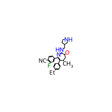 CCc1ccc(C2=C(c3ccc(C#N)c(F)c3)N=C(NCC3CCNC3)C(=O)CC2C)cc1